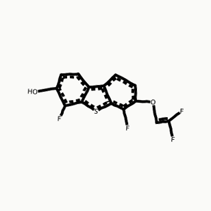 Oc1ccc2c(sc3c(F)c(OC=C(F)F)ccc32)c1F